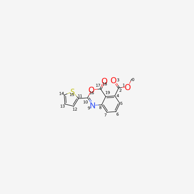 COC(=O)c1cccc2nc(-c3cccs3)oc(=O)c12